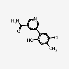 Cc1cc(O)c(-c2cncc(C(N)=O)c2)cc1Cl